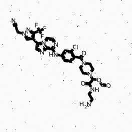 N#CCn1cc(-c2cnc3c(Nc4ccc(C(=O)N5CCN(C(OC=O)C(=O)NCCN)CC5)c(Cl)c4)nccn23)c(C(F)(F)F)n1